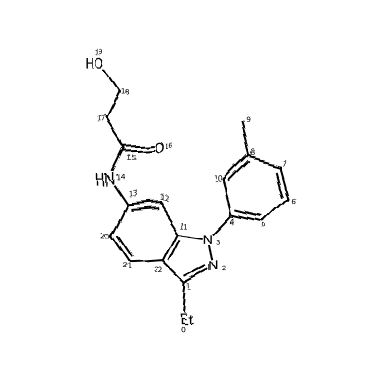 CCc1nn(-c2cccc(C)c2)c2cc(NC(=O)CCO)ccc12